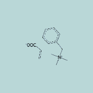 C=CC(=O)[O-].C[N+](C)(C)Cc1ccccc1